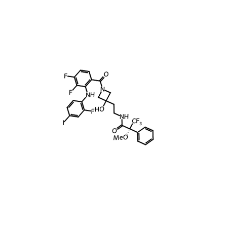 CO[C@@](C(=O)NCCC1(O)CN(C(=O)c2ccc(F)c(F)c2Nc2ccc(I)cc2F)C1)(c1ccccc1)C(F)(F)F